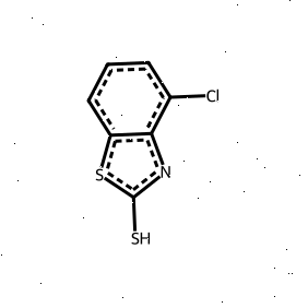 Sc1nc2c(Cl)cccc2s1